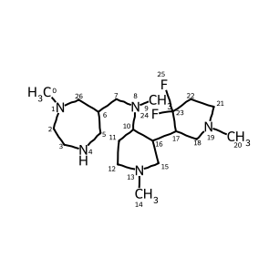 CN1CCNCC(CN(C)C2CCN(C)CC2C2CN(C)CCC2(F)F)C1